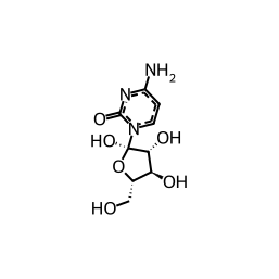 Nc1ccn([C@]2(O)O[C@@H](CO)[C@H](O)[C@H]2O)c(=O)n1